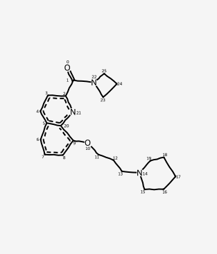 O=C(c1ccc2cccc(OCCCN3CCCCC3)c2n1)N1CCC1